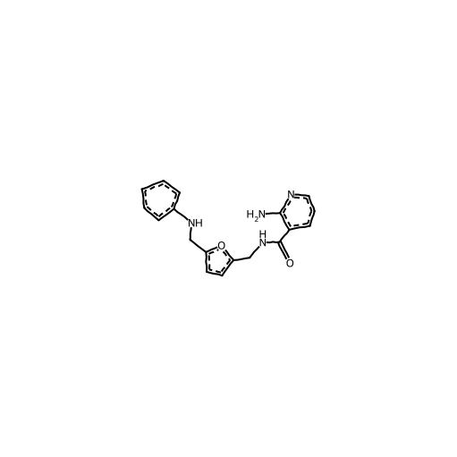 Nc1ncccc1C(=O)NCc1ccc(CNc2ccccc2)o1